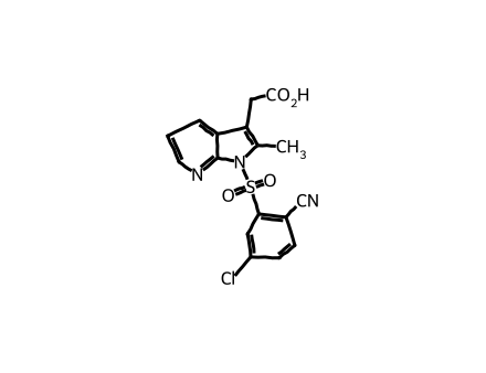 Cc1c(CC(=O)O)c2cccnc2n1S(=O)(=O)c1cc(Cl)ccc1C#N